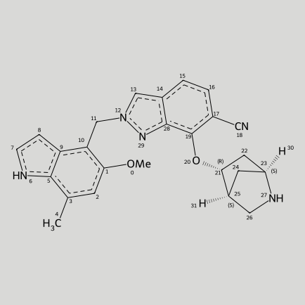 COc1cc(C)c2[nH]ccc2c1Cn1cc2ccc(C#N)c(O[C@@H]3C[C@@H]4C[C@H]3CN4)c2n1